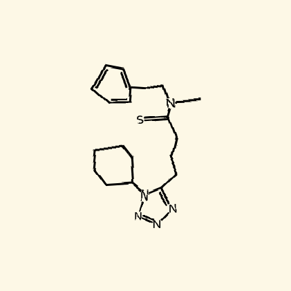 CN(Cc1ccccc1)C(=S)CCCc1nnnn1C1CCCCC1